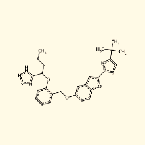 CCCC(Oc1ccccc1COc1ccc2oc(-c3nc(C(C)(C)C)cs3)cc2c1)c1nnn[nH]1